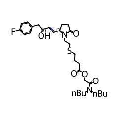 CCCCN(CCCC)C(=O)COC(=O)CCCSCCN1C(=O)CC[C@@H]1/C=C/[C@@H](O)Cc1ccc(F)cc1